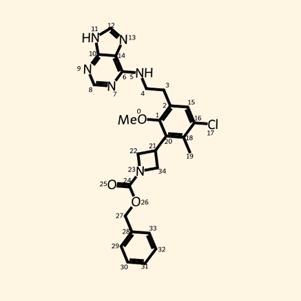 COc1c(CCNc2ncnc3[nH]cnc23)cc(Cl)c(C)c1C1CN(C(=O)OCc2ccccc2)C1